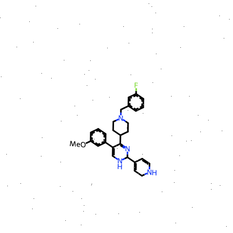 COc1cccc(C2=CNC(C3=CCNC=C3)N=C2C2CCN(Cc3cccc(F)c3)CC2)c1